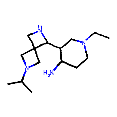 CCN1CCC(N)C(C2NCC23CN(C(C)C)C3)C1